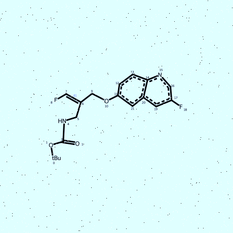 CC(C)(C)OC(=O)NC/C(=C\F)COc1ccc2ncc(F)cc2c1